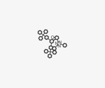 c1ccc(-c2nc(-c3ccccc3)nc(-c3cccc4oc5c(-c6ccc(C(c7ccccc7)(c7ccccc7)c7ccccc7)cc6)cc(-c6ccc(C(c7ccccc7)(c7ccccc7)c7ccccc7)cc6)cc5c34)n2)cc1